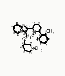 Cc1cccnc1C1CCCC(c2nc3ccccn3c2COC2CCCN(C)C2)N1C